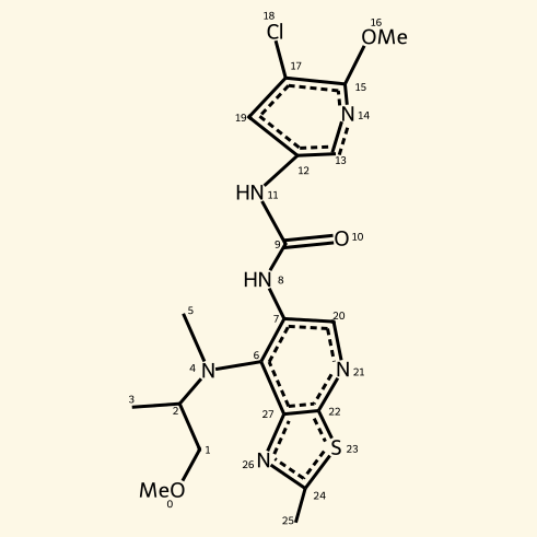 COCC(C)N(C)c1c(NC(=O)Nc2cnc(OC)c(Cl)c2)cnc2sc(C)nc12